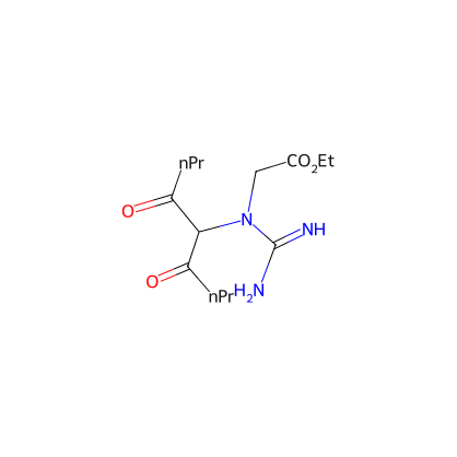 CCCC(=O)C(C(=O)CCC)N(CC(=O)OCC)C(=N)N